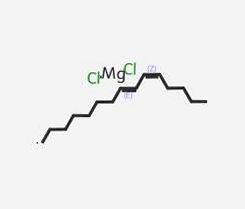 [CH2]CCCCCC/C=C/C=C\CCCC.[Cl][Mg][Cl]